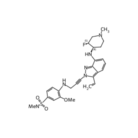 C=Cc1c2cccc(N[C@@H]3CCN(C)C[C@@H]3F)c2nn1C#CCNc1ccc(S(=O)(=O)NC)cc1OC